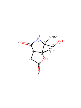 CC12OC(=O)CC1C(=O)NC2(C=O)CO